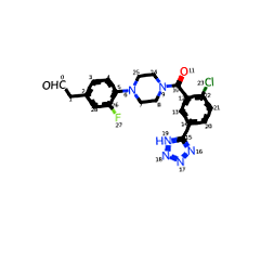 O=CCc1ccc(N2CCN(C(=O)c3cc(-c4nnn[nH]4)ccc3Cl)CC2)c(F)c1